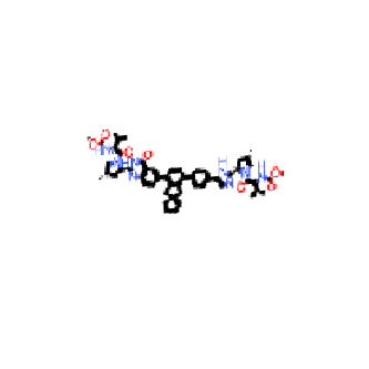 COC(=O)NC(C(=O)N1C[C@@H](C)C[C@H]1c1ncc(-c2ccc(-c3ccc(-c4ccc5nc([C@@H]6C[C@H](C)CN6C(=O)[C@@H](NC(=O)OC)C(C)C)[nH]c(=O)c5c4)c4c3CC3(CCCC3)C4)cc2)[nH]1)C(C)C